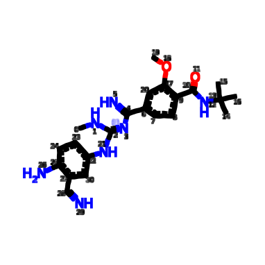 CN/C(=N\C(=N)c1ccc(C(=O)NC(C)(C)C)c(OC)c1)Nc1ccc(N)c(C=N)c1